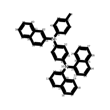 Cc1ccc(N(c2ccc(N(c3cccc4ccccc34)c3cccc4ccccc34)cc2)c2ccc3ccccc3c2)cc1